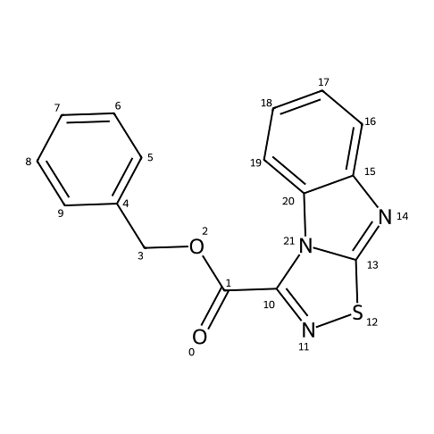 O=C(OCc1ccccc1)c1nsc2nc3ccccc3n12